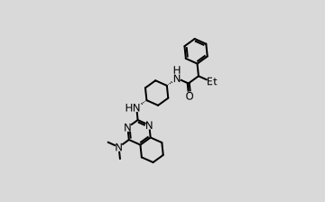 CCC(C(=O)N[C@H]1CC[C@@H](Nc2nc3c(c(N(C)C)n2)CCCC3)CC1)c1ccccc1